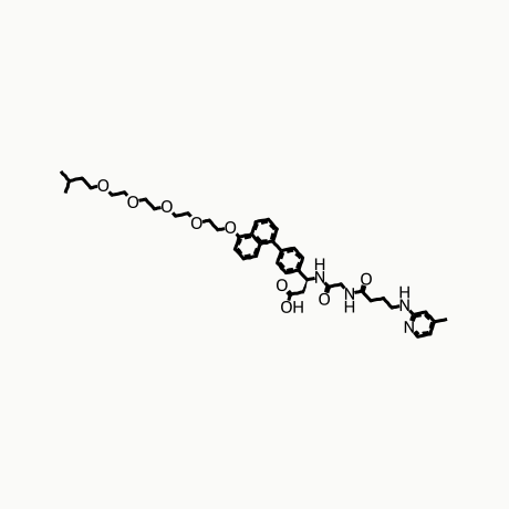 Cc1ccnc(NCCCC(=O)NCC(=O)N[C@@H](CC(=O)O)c2ccc(-c3cccc4c(OCCOCCOCCOCCOCCC(C)C)cccc34)cc2)c1